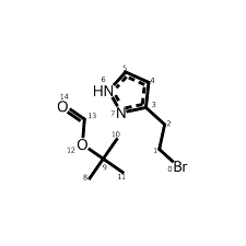 BrCCc1cc[nH]n1.CC(C)(C)OC=O